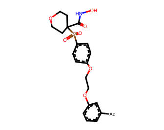 CC(=O)c1cccc(OCCOc2ccc(S(=O)(=O)C3(C(=O)NO)CCOCC3)cc2)c1